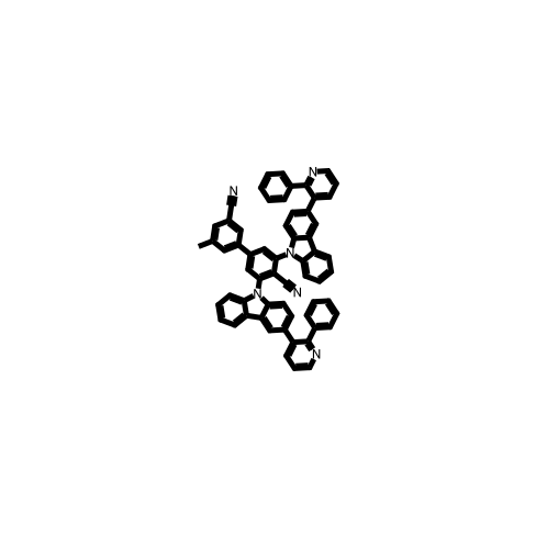 Cc1cc(C#N)cc(-c2cc(-n3c4ccccc4c4cc(-c5cccnc5-c5ccccc5)ccc43)c(C#N)c(-n3c4ccccc4c4cc(-c5cccnc5-c5ccccc5)ccc43)c2)c1